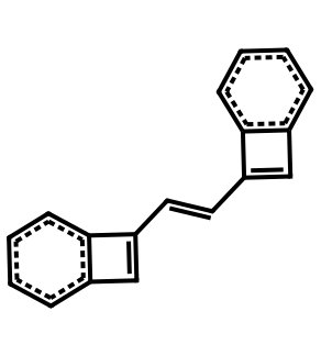 C(=CC1=Cc2ccccc21)C1=Cc2ccccc21